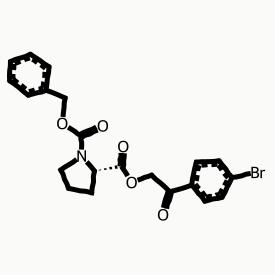 O=C(COC(=O)[C@@H]1CCCN1C(=O)OCc1ccccc1)c1ccc(Br)cc1